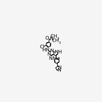 CNc1nc(Nc2ccc(C(=O)N(C)C)cc2Cl)nc2[nH]cc(-c3ccc(C4=NN=CC4)cc3)c12